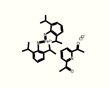 CC(=O)c1cccc(C(C)=O)n1.CC(C)c1cccc(C(C)C)c1[N]=[Fe+2]=[N]c1c(C(C)C)cccc1C(C)C.[Cl-].[Cl-]